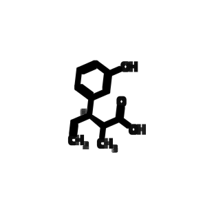 C=C[C@@H](c1cccc(O)c1)C(C)C(=O)O